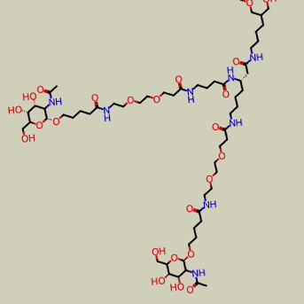 COCC(CO)CCCCNC(=O)C[C@H](CCCCNC(=O)CCOCCOCCNC(=O)CCCCO[C@@H]1OC(CO)[C@H](O)[C@H](O)C1NC(C)=O)NC(=O)CCCNC(=O)CCOCCOCCNC(=O)CCCCO[C@@H]1OC(CO)[C@H](O)[C@H](O)C1NC(C)=O